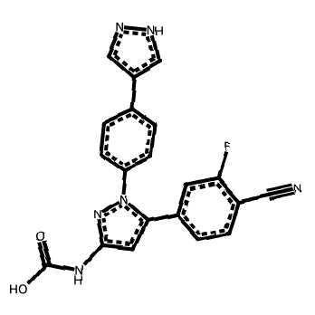 N#Cc1ccc(-c2cc(NC(=O)O)nn2-c2ccc(-c3cn[nH]c3)cc2)cc1F